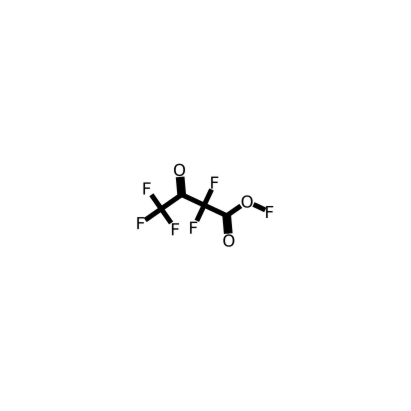 O=C(OF)C(F)(F)C(=O)C(F)(F)F